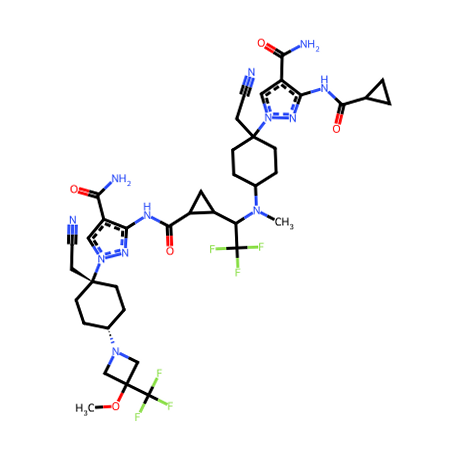 COC1(C(F)(F)F)CN([C@H]2CC[C@@](CC#N)(n3cc(C(N)=O)c(NC(=O)C4CC4C(N(C)C4CCC(CC#N)(n5cc(C(N)=O)c(NC(=O)C6CC6)n5)CC4)C(F)(F)F)n3)CC2)C1